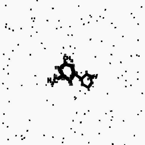 Cc1cc(C2CCCNC2)nc(C)n1